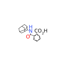 O=C(O)c1ccccc1C(=O)NC1C2CC3CC(C2)CC1C3